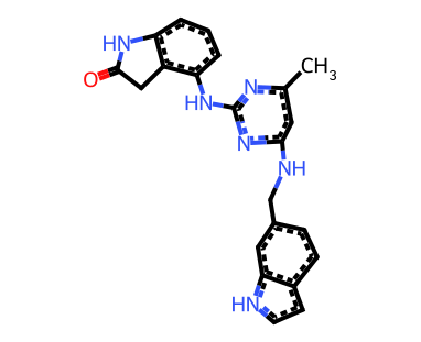 Cc1cc(NCc2ccc3cc[nH]c3c2)nc(Nc2cccc3c2CC(=O)N3)n1